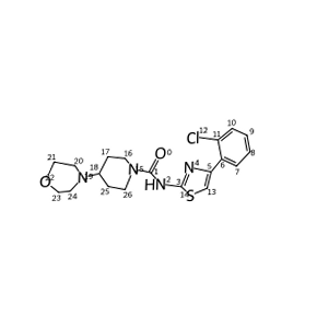 O=C(Nc1nc(-c2ccccc2Cl)cs1)N1CCC(N2CCOCC2)CC1